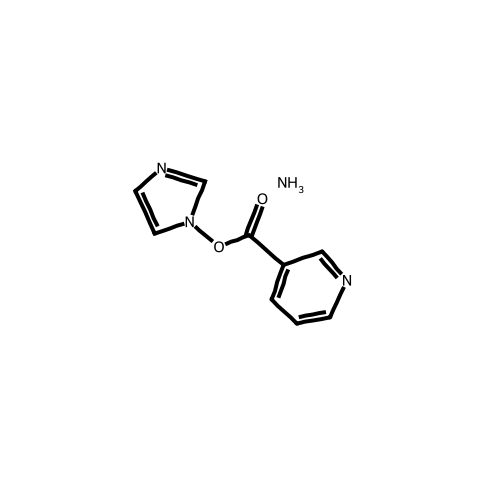 N.O=C(On1ccnc1)c1cccnc1